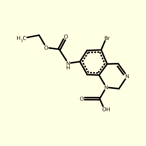 CCOC(=O)Nc1cc(Br)c2c(c1)N(C(=O)O)CN=C2